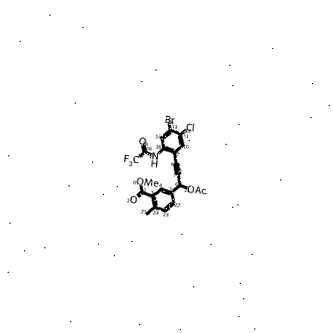 COC(=O)c1cc(C(C#Cc2cc(Cl)c(Br)cc2NC(=O)C(F)(F)F)OC(C)=O)ccc1C